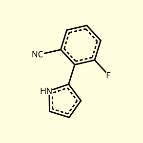 N#Cc1cccc(F)c1-c1ccc[nH]1